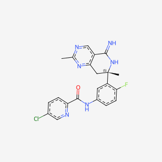 Cc1ncc2c(n1)C[C@@](C)(c1cc(NC(=O)c3ccc(Cl)cn3)ccc1F)NC2=N